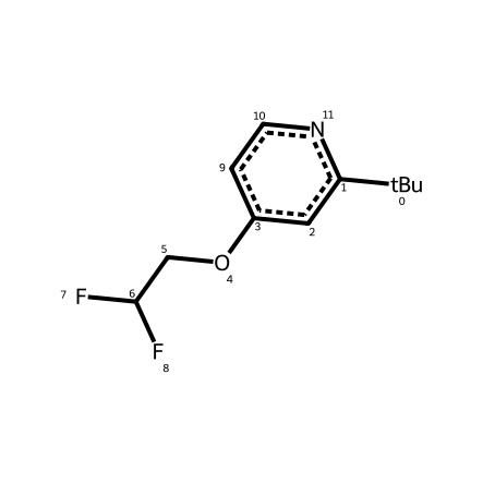 CC(C)(C)c1cc(OCC(F)F)ccn1